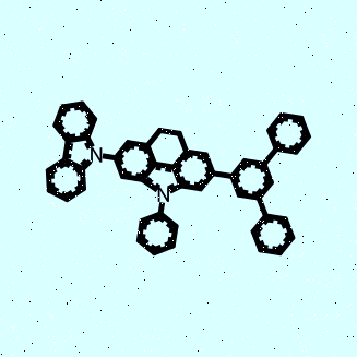 c1ccc(-c2cc(-c3ccccc3)cc(-c3cc4c5c6c(cc(-n7c8ccccc8c8ccccc87)cc6n(-c6ccccc6)c5c3)CC4)c2)cc1